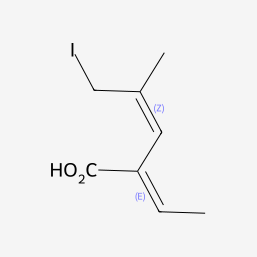 C/C=C(\C=C(\C)CI)C(=O)O